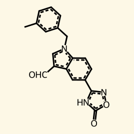 Cc1cccc(Cn2cc(C=O)c3cc(-c4noc(=O)[nH]4)ccc32)c1